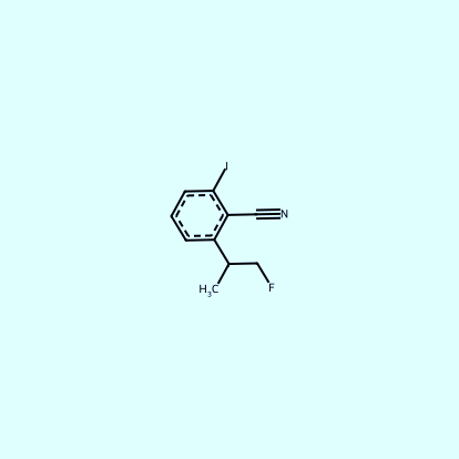 C[C](CF)c1cccc(I)c1C#N